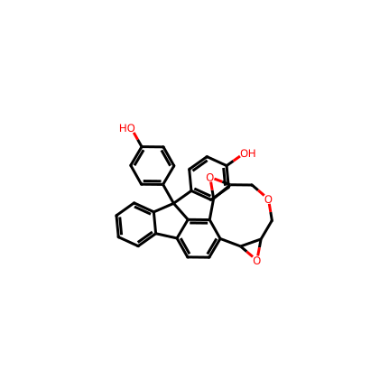 Oc1ccc(C2(c3ccc(O)cc3)c3ccccc3-c3ccc4c(c32)C2OC2COCC2OC42)cc1